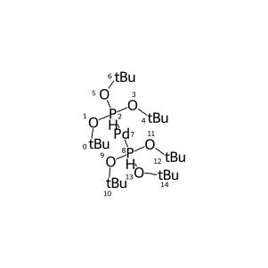 CC(C)(C)O[PH](OC(C)(C)C)(OC(C)(C)C)[Pd][PH](OC(C)(C)C)(OC(C)(C)C)OC(C)(C)C